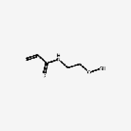 C=CC(=O)NCCOS